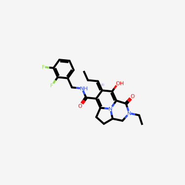 CC/C=C1/C(O)=C2C(=O)N(CC)CC3CCC(=C1C(=O)NCc1cccc(F)c1F)N23